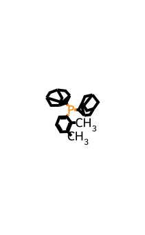 Cc1cccc(P(C2C3CC4CC(C3)CC2C4)C2C3CC4CC(C3)CC2C4)c1C